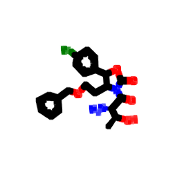 C[C@H](O)[C@H](N)C(=O)N1C(=O)OC(c2ccc(Br)cc2)C1CCOCc1ccccc1